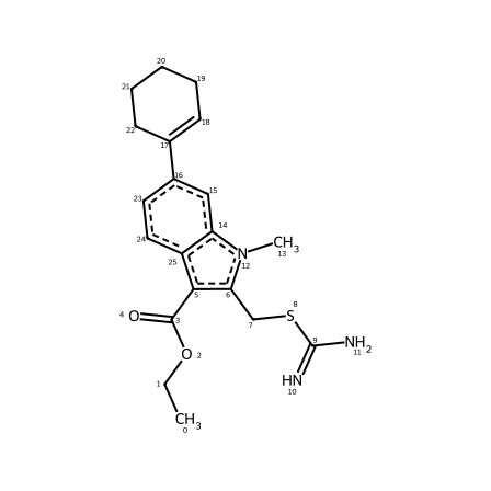 CCOC(=O)c1c(CSC(=N)N)n(C)c2cc(C3=CCCCC3)ccc12